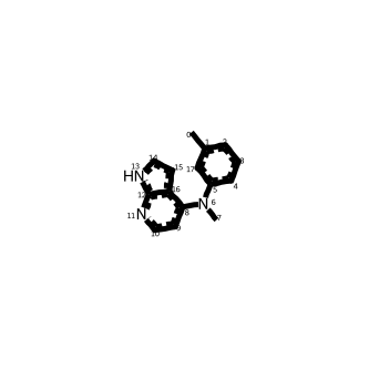 Cc1cccc(N(C)c2ccnc3[nH]ccc23)c1